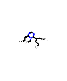 C=C/C=C1/N=CN=C(C(CCC)CCC)N1C=C